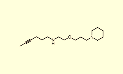 CC#CCCCNCCOCCCN1CCCCC1